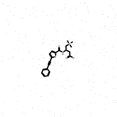 C[N+](C)(C)CC(CC(=O)[O-])NC(=O)c1ccc(C#Cc2ccccc2)s1